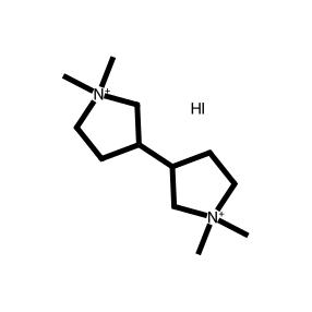 C[N+]1(C)CCC(C2CC[N+](C)(C)C2)C1.I